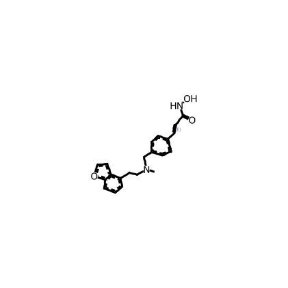 CN(CCc1cccc2occc12)Cc1ccc(/C=C/C(=O)NO)cc1